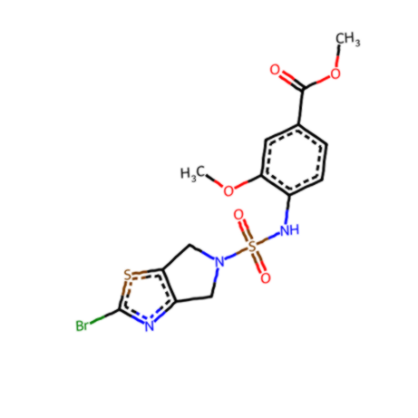 COC(=O)c1ccc(NS(=O)(=O)N2Cc3nc(Br)sc3C2)c(OC)c1